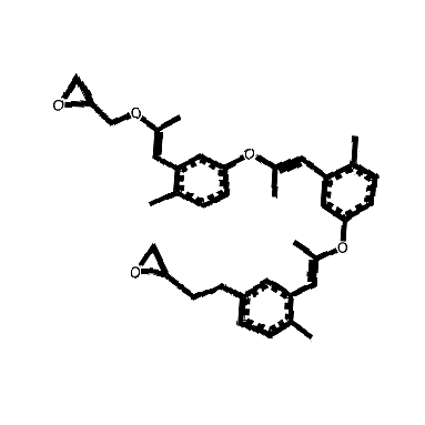 C/C(=C\c1cc(O/C(C)=C/c2cc(O/C(C)=C/c3cc(CCC4CO4)ccc3C)ccc2C)ccc1C)OCC1CO1